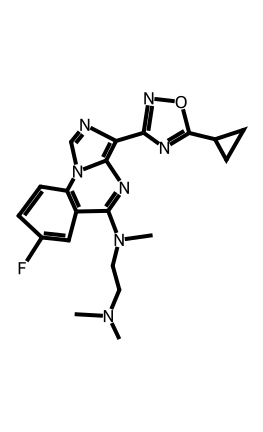 CN(C)CCN(C)c1nc2c(-c3noc(C4CC4)n3)ncn2c2ccc(F)cc12